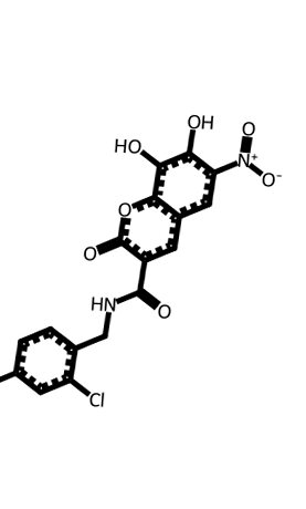 O=C(NCc1ccc(F)cc1Cl)c1cc2cc([N+](=O)[O-])c(O)c(O)c2oc1=O